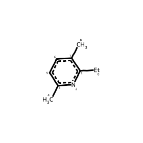 CCc1nc(C)ccc1C